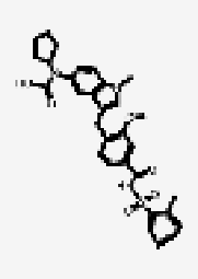 COc1cc(C(=O)NS(=O)(=O)c2ccccc2C)ccc1Cc1cn(C)c2ccc(N(C(=O)O)C3CCCC3)cc12